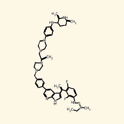 C=C1CCC(Nc2ccc(N3CCN(CC(=C)N4CCN(Cc5ccc(-c6cnc7[nH]cc(C(=C)c8c(F)ccc(NSN(C)CC)c8F)c7c6)cc5)CC4)CC3)cc2)C(=C)N1